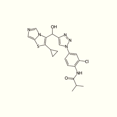 CC(C)C(=O)Nc1ccc(-n2cc(C(O)c3c(C4CC4)sc4cncn34)nn2)cc1Cl